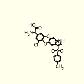 Cc1ccc(S(=O)(=O)c2c[nH]c3ccc(Oc4c(Cl)cc(C(N)C(=O)O)cc4Cl)cc23)cc1